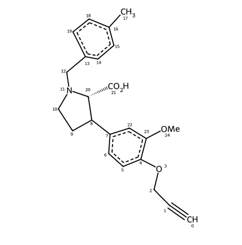 C#CCOc1ccc(C2CCN(Cc3ccc(C)cc3)[C@@H]2C(=O)O)cc1OC